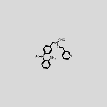 CC(=O)N(c1ccc(CN(C=O)OCc2cccnc2)cc1)c1ccccc1N